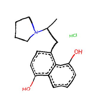 CC(Cc1ccc(O)c2cccc(O)c12)N1CCCC1.Cl